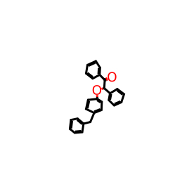 O=C(c1ccccc1)C(Oc1ccc(Cc2ccccc2)cc1)c1ccccc1